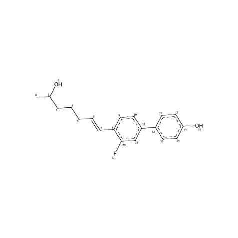 CC(O)CCCC=Cc1ccc(-c2ccc(O)cc2)cc1F